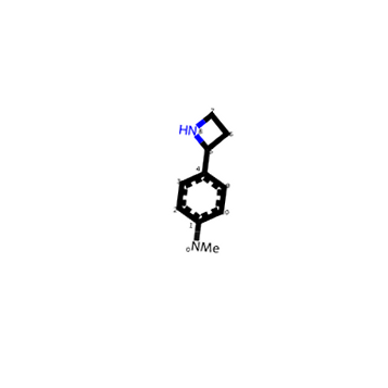 CNc1ccc(C2CCN2)cc1